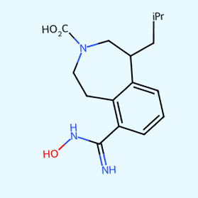 CC(C)CC1CN(C(=O)O)CCc2c(C(=N)NO)cccc21